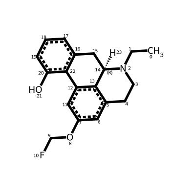 CCN1CCc2cc(OCF)cc3c2[C@H]1Cc1cccc(O)c1-3